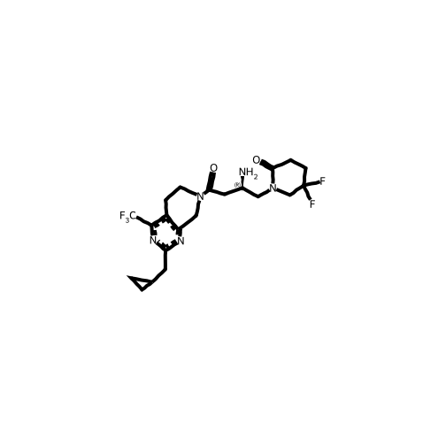 N[C@H](CC(=O)N1CCc2c(nc(CC3CC3)nc2C(F)(F)F)C1)CN1CC(F)(F)CCC1=O